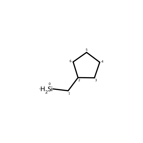 [SiH2]CC1CCCC1